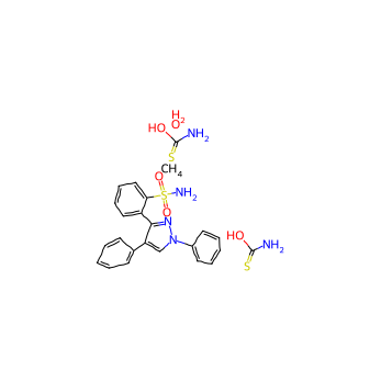 C.NC(O)=S.NC(O)=S.NS(=O)(=O)c1ccccc1-c1nn(-c2ccccc2)cc1-c1ccccc1.O